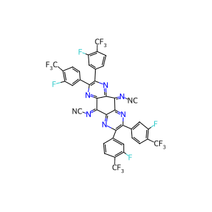 [C-]#[N+]N=C1c2nc(-c3ccc(C(F)(F)F)c(F)c3)c(-c3ccc(C(F)(F)F)c(F)c3)nc2C(=NC#N)c2nc(-c3ccc(C(F)(F)F)c(F)c3)c(-c3ccc(C(F)(F)F)c(F)c3)nc21